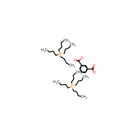 CCCC[P+](CCCC)(CCCC)CCCC.CCCC[P+](CCCC)(CCCC)CCCC.O=C([O-])c1cccc(C(=O)[O-])c1